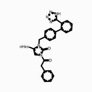 CCCCCCc1cn(C(=O)Cc2ccccc2)c(=O)n1Cc1ccc(-c2ccccc2-c2nnn[nH]2)cc1